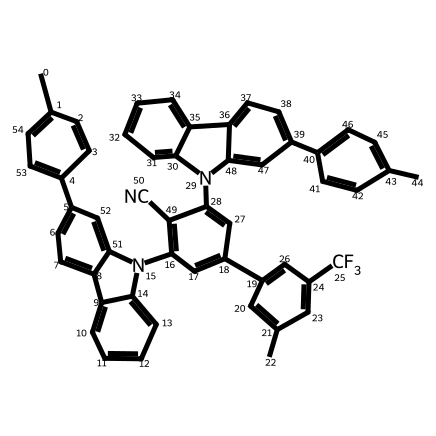 Cc1ccc(-c2ccc3c4ccccc4n(-c4cc(-c5cc(C)cc(C(F)(F)F)c5)cc(-n5c6ccccc6c6ccc(-c7ccc(C)cc7)cc65)c4C#N)c3c2)cc1